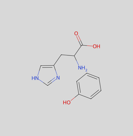 NC(Cc1c[nH]cn1)C(=O)O.Oc1ccccc1